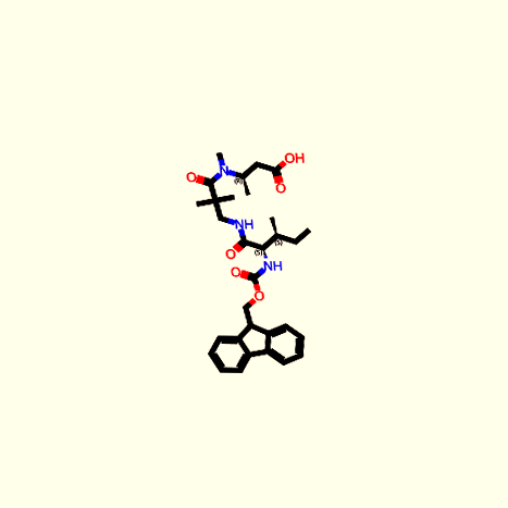 CC[C@H](C)[C@H](NC(=O)OCC1c2ccccc2-c2ccccc21)C(=O)NCC(C)(C)C(=O)N(C)[C@H](C)CC(=O)O